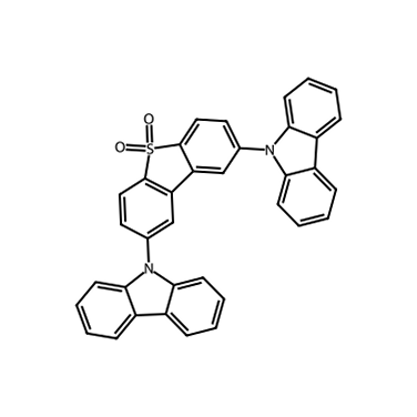 O=S1(=O)c2ccc(-n3c4ccccc4c4ccccc43)cc2-c2cc(-n3c4ccccc4c4ccccc43)ccc21